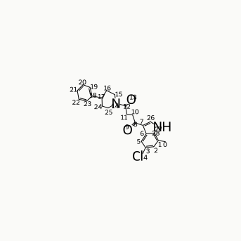 Cc1cc(Cl)cc2c(C(=O)CCC(=O)N3CCC(c4ccccc4)CC3)c[nH]c12